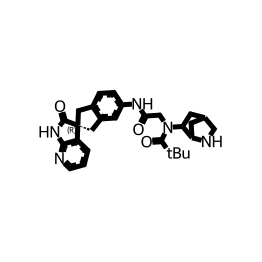 CC(C)(C)C(=O)N(CC(=O)Nc1ccc2c(c1)C[C@@]1(C2)C(=O)Nc2ncccc21)C1CC2CNC1C2